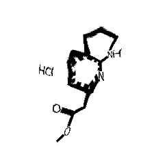 COC(=O)Cc1ccc2c(n1)NCCC2.Cl